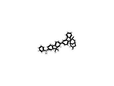 CC1CC2CC(C)C3(c4ccccc4-c4cc(-c5ccc6c(c5)C(C)(C)c5cc(Nc7ccccc7)ccc5-6)ccc43)C(C1)C2